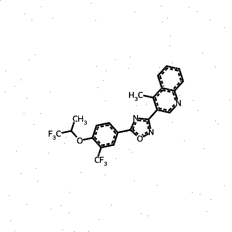 Cc1c(-c2noc(-c3ccc(OC(C)C(F)(F)F)c(C(F)(F)F)c3)n2)cnc2ccccc12